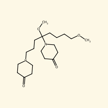 COCCCCC(CCCN1CCC(=O)CC1)(OC)N1CCC(=O)CC1